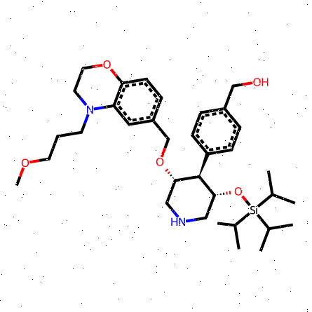 COCCCN1CCOc2ccc(CO[C@H]3CNC[C@@H](O[Si](C(C)C)(C(C)C)C(C)C)[C@@H]3c3ccc(CO)cc3)cc21